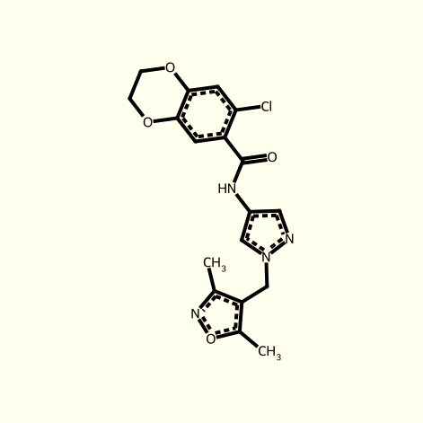 Cc1noc(C)c1Cn1cc(NC(=O)c2cc3c(cc2Cl)OCCO3)cn1